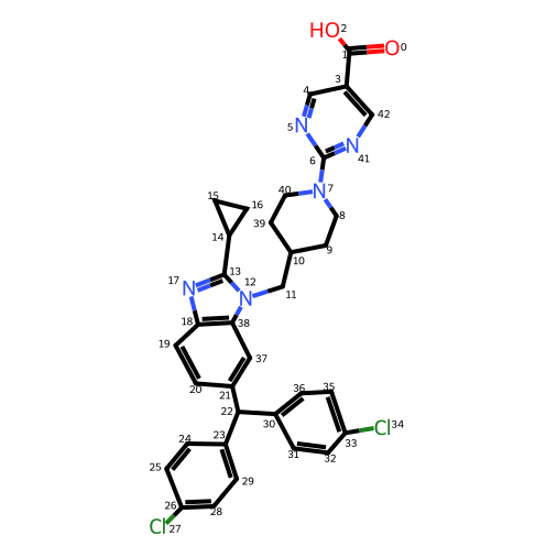 O=C(O)c1cnc(N2CCC(Cn3c(C4CC4)nc4ccc(C(c5ccc(Cl)cc5)c5ccc(Cl)cc5)cc43)CC2)nc1